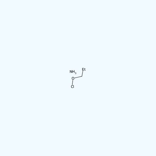 CCCOCl.N